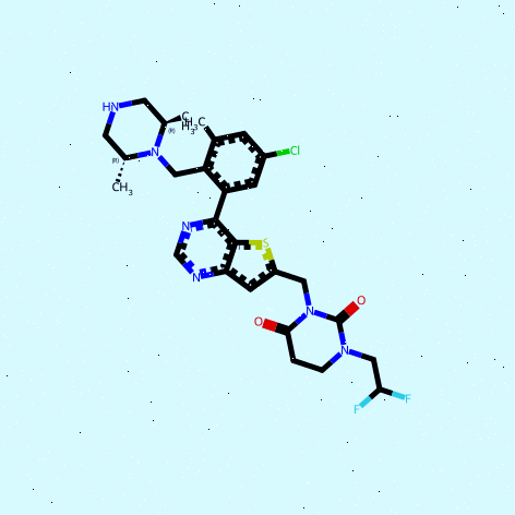 Cc1cc(Cl)cc(-c2ncnc3cc(CN4C(=O)CCN(CC(F)F)C4=O)sc23)c1CN1[C@H](C)CNC[C@H]1C